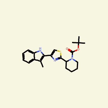 Cc1c(-c2csc(C3CCCCN3C(=O)OC(C)(C)C)n2)[nH]c2ccccc12